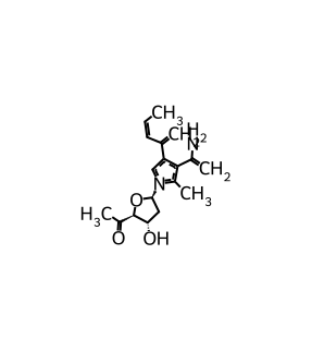 C=C(/C=C\C)c1cn([C@H]2C[C@H](O)[C@@H](C(C)=O)O2)c(C)c1C(=C)N